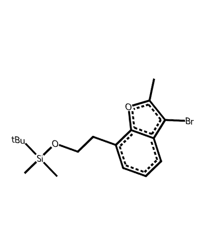 Cc1oc2c(CCO[Si](C)(C)C(C)(C)C)cccc2c1Br